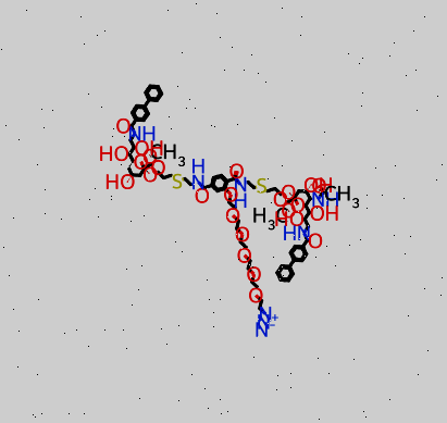 COC(=O)[C@@]1(OCCCSCCNC(=O)c2ccc(C(=O)NCCSCCCO[C@]3(C(=O)OC)C[C@H](O)C[C@H]([C@H](O)[C@H](O)CNC(=O)c4ccc(-c5ccccc5)cc4)O3)cc2OCCOCCOCCOCCOCCOCCN=[N+]=[N-])C[C@H](O)[C@@H](NC(C)=O)[C@H]([C@H](O)[C@H](O)CNC(=O)c2ccc(-c3ccccc3)cc2)O1